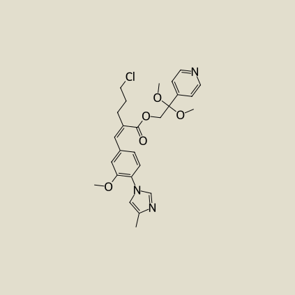 COc1cc(C=C(CCCCl)C(=O)OCC(OC)(OC)c2ccncc2)ccc1-n1cnc(C)c1